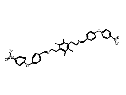 Cc1c(C)c(CCN=Cc2ccc(Oc3ccc([N+](=O)[O-])cc3)cc2)c(C)c(C)c1CCN=Cc1ccc(Oc2ccc([N+](=O)[O-])cc2)cc1